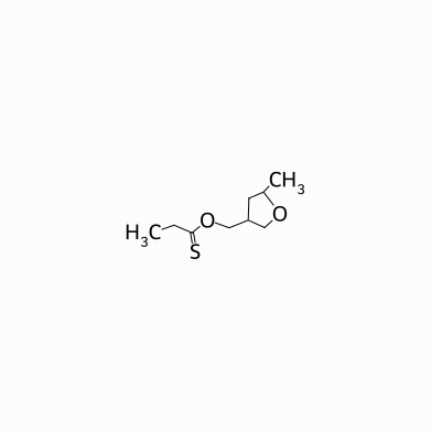 CCC(=S)OCC1COC(C)C1